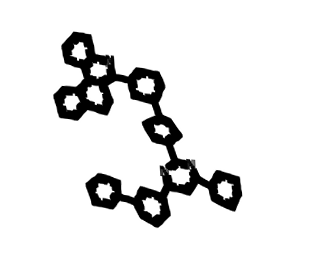 c1ccc(-c2cccc(-c3cc(-c4ccccc4)nc(-c4ccc(-c5cccc(-c6nc7ccccc7c7c6ccc6ccccc67)c5)cc4)n3)c2)cc1